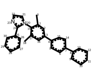 Cc1cc(-c2ccc(-c3ccccc3)cc2)cc(C)c1-n1ccnc1-c1ccccc1